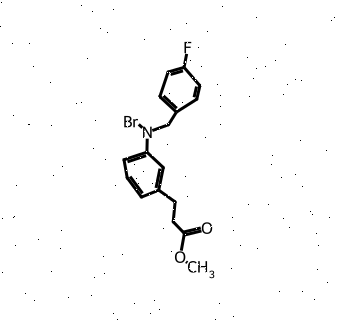 COC(=O)CCc1cccc(N(Br)Cc2ccc(F)cc2)c1